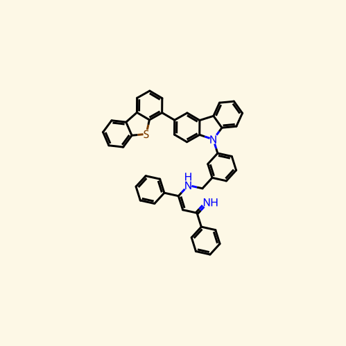 N=C(/C=C(\NCc1cccc(-n2c3ccccc3c3cc(-c4cccc5c4sc4ccccc45)ccc32)c1)c1ccccc1)c1ccccc1